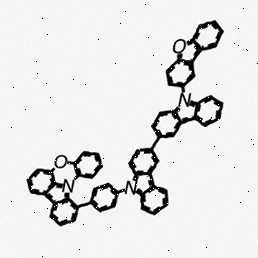 c1ccc2c(c1)Oc1cccc3c4cccc(-c5ccc(-n6c7ccccc7c7cc(-c8ccc9c(c8)c8ccccc8n9-c8ccc9oc%10ccccc%10c9c8)ccc76)cc5)c4n-2c13